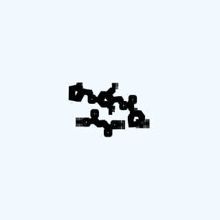 O=C(O)C=CC(=O)O.O=C(OCc1c(F)cc(OCc2cccs2)cc1F)N1CCNCC1